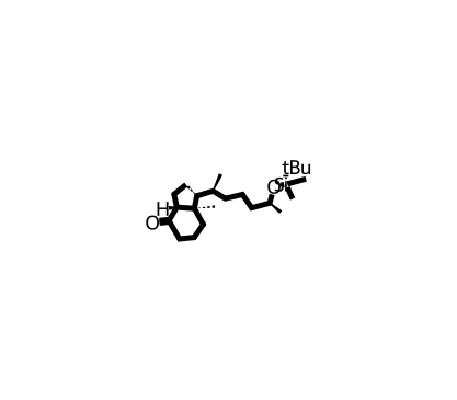 C[C@@H](CCC[C@H](C)[C@H]1CC[C@H]2C(=O)CCC[C@]12C)O[Si](C)(C)C(C)(C)C